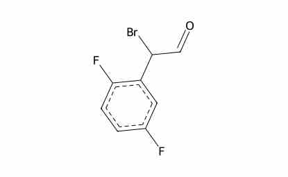 O=CC(Br)c1cc(F)ccc1F